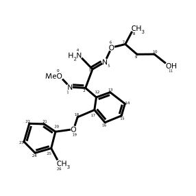 CON=C(C(N)=NOC(C)CCO)c1ccccc1COc1ccccc1C